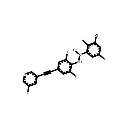 Cc1c(Cl)cc(F)cc1[S+]([O-])Nc1c(F)cc(C#Cc2cncc(F)c2)cc1F